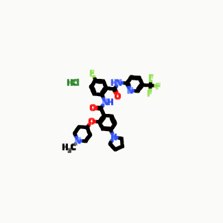 CN1CCC(Oc2cc(N3CCCC3)ccc2C(=O)Nc2ccc(F)cc2C(=O)Nc2ccc(C(F)(F)F)cn2)CC1.Cl